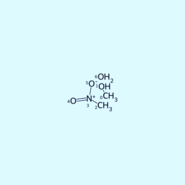 CO.C[N+](=O)[O-].O